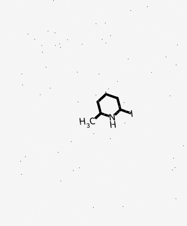 CC1C[CH]CC(I)N1